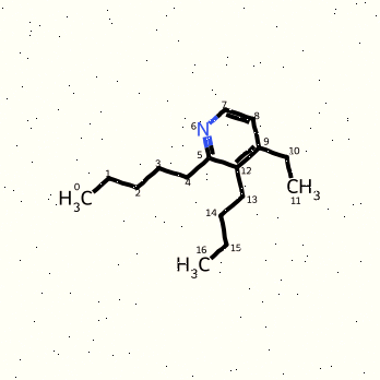 CCCCCc1nccc(CC)c1CCCC